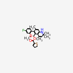 COc1cc(F)ccc1-c1c(C)cc2c(c1COC(=O)C1=CCCS1)C(C)=CC(C)(C)N2